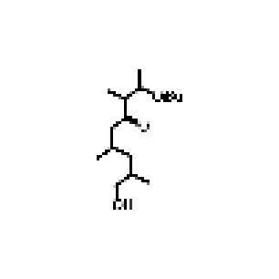 CC(C)COC(C)C(C)C(=O)CC(C)CC(C)CO